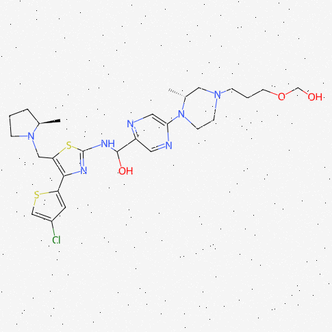 C[C@@H]1CCCN1Cc1sc(NC(O)c2cnc(N3CCN(CCCOCO)C[C@H]3C)cn2)nc1-c1cc(Cl)cs1